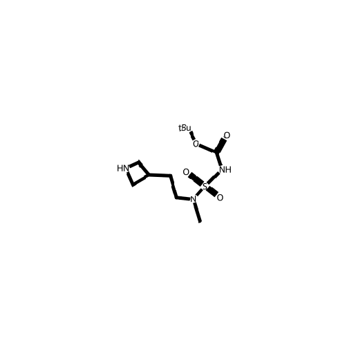 CN(CCC1CNC1)S(=O)(=O)NC(=O)OC(C)(C)C